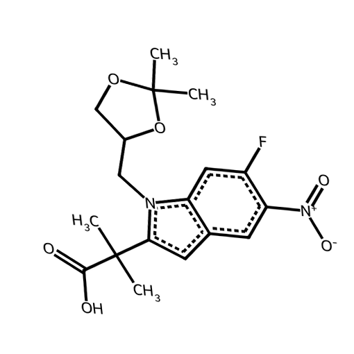 CC1(C)OCC(Cn2c(C(C)(C)C(=O)O)cc3cc([N+](=O)[O-])c(F)cc32)O1